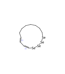 C1=C\[Se][Se][Se][Se]CCCCCCC/C=C/1